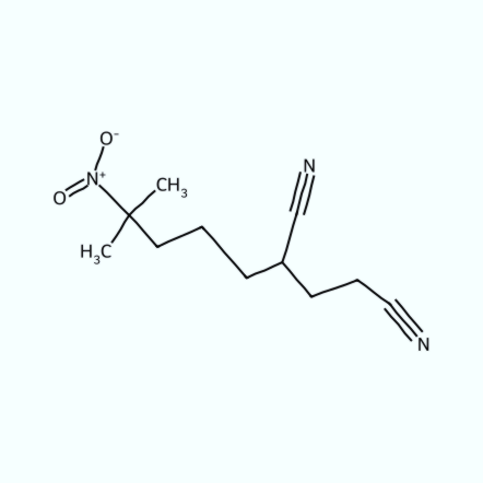 CC(C)(CCCC(C#N)CCC#N)[N+](=O)[O-]